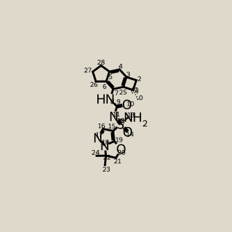 C[C@H]1Cc2cc3c(c(NC(=O)N=[S@](N)(=O)c4cnn5c4OCC5(C)C)c21)CCC3